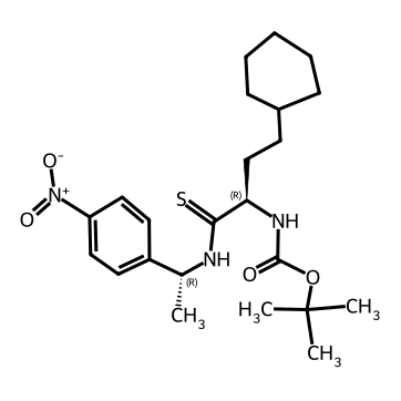 C[C@@H](NC(=S)[C@@H](CCC1CCCCC1)NC(=O)OC(C)(C)C)c1ccc([N+](=O)[O-])cc1